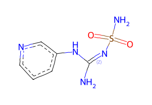 N/C(=N/S(N)(=O)=O)Nc1cccnc1